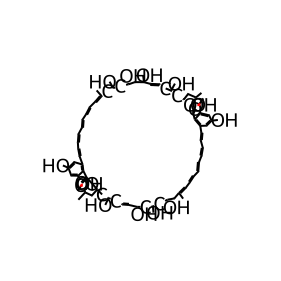 COc1cc(O)cc2c1C(=O)OC(CC(C)O)CC(O)CC=CC(O)CC(O)CC(O)CC(C)=CC=CC=CC=CC=Cc1cc(O)cc(OC)c1C(=O)OC(CC(C)O)CC(O)CC=CC(O)CC(O)CC(O)CC(C)=CC=CC=CC=CC=C2